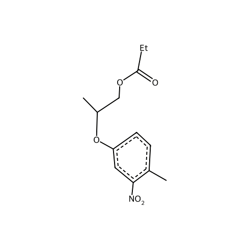 CCC(=O)OCC(C)Oc1ccc(C)c([N+](=O)[O-])c1